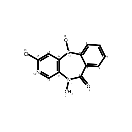 CN1C(=O)c2ccccc2[S+]([O-])c2cc(Cl)ncc21